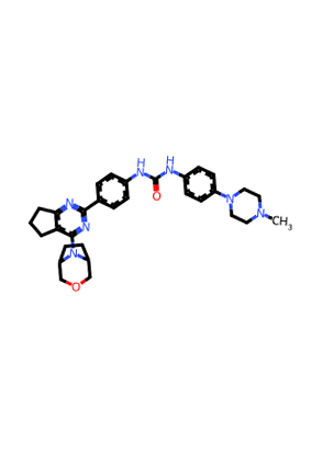 CN1CCN(c2ccc(NC(=O)Nc3ccc(-c4nc5c(c(N6C7CCC6COC7)n4)CCC5)cc3)cc2)CC1